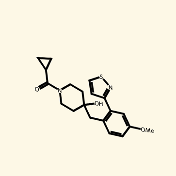 COc1ccc(CC2(O)CCN(C(=O)C3CC3)CC2)c(-c2ccsn2)c1